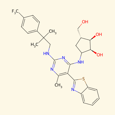 Cc1nc(NCC(C)(C)c2ccc(C(F)(F)F)cc2)nc(NC2C[C@H](CO)[C@@H](O)[C@H]2O)c1-c1nc2ccccc2s1